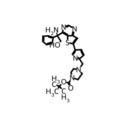 CC(C)(C)OC(=O)N1CCN(Cc2ccc(-c3cc4ncnc([C@](N)(CO)c5ccccc5)c4s3)cn2)CC1